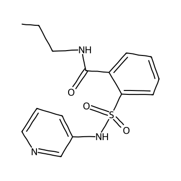 CCCNC(=O)c1ccccc1S(=O)(=O)Nc1cccnc1